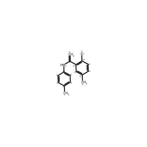 C=C(Nc1ccc(C)cc1)c1cc(C)ccc1Cl